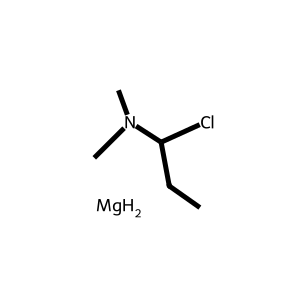 CCC(Cl)N(C)C.[MgH2]